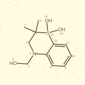 CC1(C)CN(CO)c2ccccc2S1(O)O